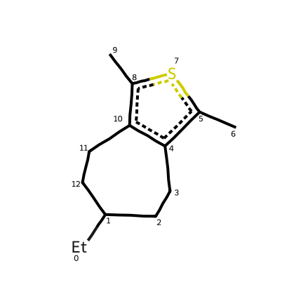 CCC1CCc2c(C)sc(C)c2CC1